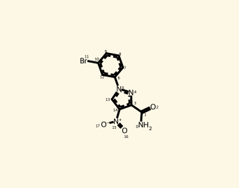 NC(=O)c1nn(-c2cccc(Br)c2)cc1[N+](=O)[O-]